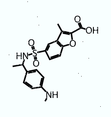 CNc1ccc(C(C)NS(=O)(=O)c2ccc3oc(C(=O)O)c(C)c3c2)cc1